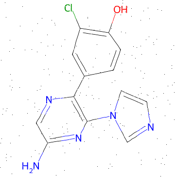 Nc1cnc(-c2ccc(O)c(Cl)c2)c(-n2ccnc2)n1